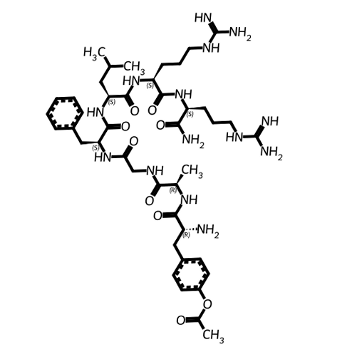 CC(=O)Oc1ccc(C[C@@H](N)C(=O)N[C@H](C)C(=O)NCC(=O)N[C@@H](Cc2ccccc2)C(=O)N[C@@H](CC(C)C)C(=O)N[C@@H](CCCNC(=N)N)C(=O)N[C@@H](CCCNC(=N)N)C(N)=O)cc1